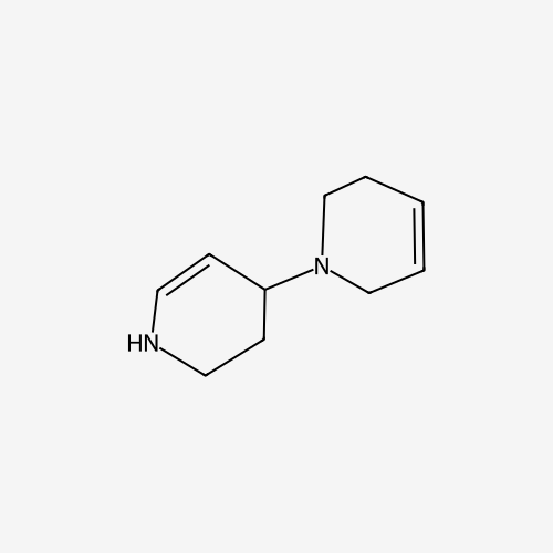 C1=CCN(C2C=CNCC2)CC1